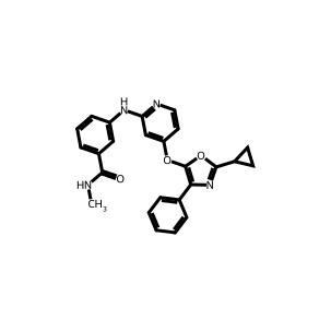 CNC(=O)c1cccc(Nc2cc(Oc3oc(C4CC4)nc3-c3ccccc3)ccn2)c1